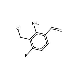 Nc1c(C=O)ccc(F)c1CCl